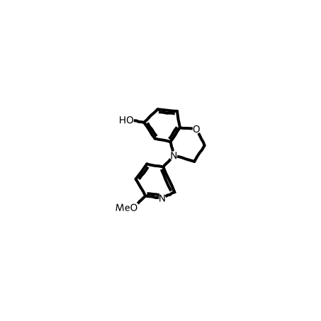 COc1ccc(N2CCOc3ccc(O)cc32)cn1